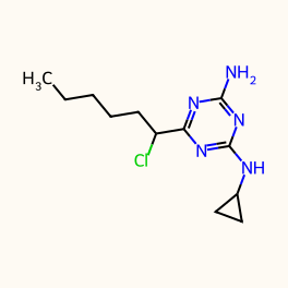 CCCCCC(Cl)c1nc(N)nc(NC2CC2)n1